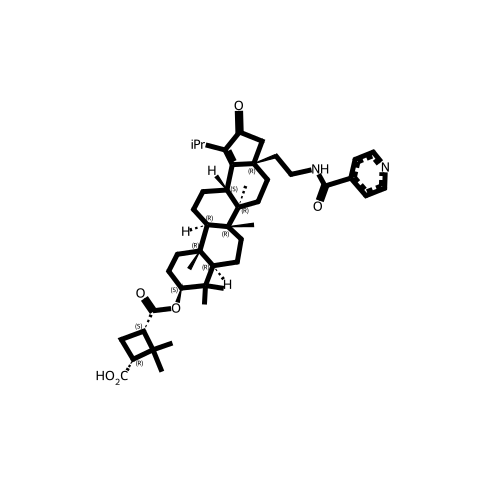 CC(C)C1=C2[C@H]3CC[C@@H]4[C@@]5(C)CC[C@H](OC(=O)[C@H]6C[C@@H](C(=O)O)C6(C)C)C(C)(C)[C@@H]5CC[C@@]4(C)[C@]3(C)CC[C@@]2(CCNC(=O)c2ccncc2)CC1=O